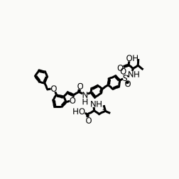 CC(C)C(NS(=O)(=O)c1ccc(-c2ccc(NC(=O)c3cc4c(OCc5ccccc5)cccc4o3)cc2)cc1)C(=O)O.CC(C)CC(N)C(=O)O